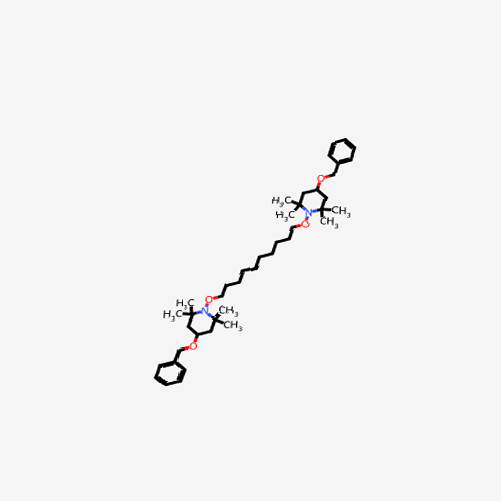 CC1(C)CC(OCc2ccccc2)CC(C)(C)N1OCCCCCCCCCCON1C(C)(C)CC(OCc2ccccc2)CC1(C)C